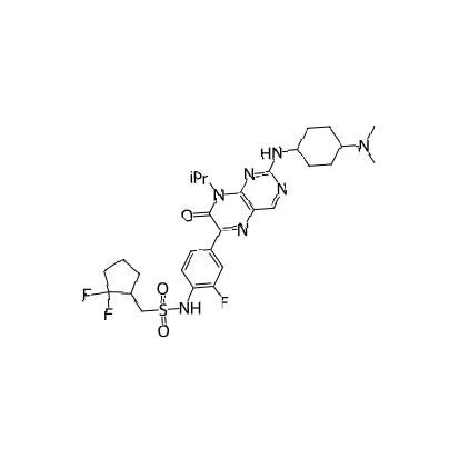 CC(C)n1c(=O)c(-c2ccc(NS(=O)(=O)CC3CCCC3(F)F)c(F)c2)nc2cnc(NC3CCC(N(C)C)CC3)nc21